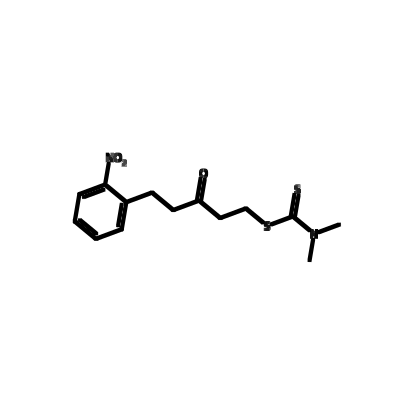 CN(C)C(=S)SCCC(=O)CCc1ccccc1[N+](=O)[O-]